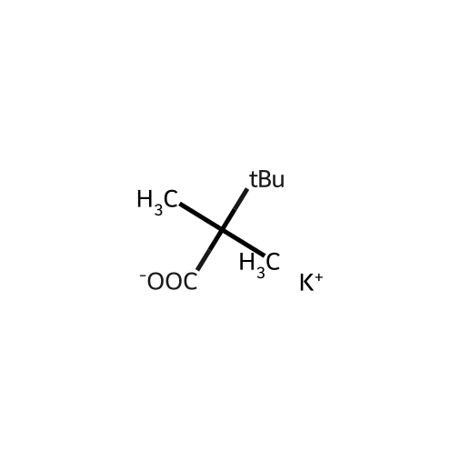 CC(C)(C)C(C)(C)C(=O)[O-].[K+]